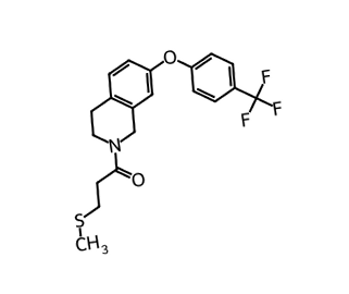 CSCCC(=O)N1CCc2ccc(Oc3ccc(C(F)(F)F)cc3)cc2C1